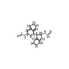 C=CCc1[c]c(-c2[c]c(CC=C)cc3ccccc23)c2ccccc2c1